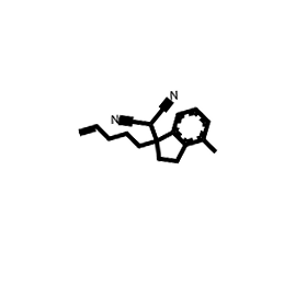 C=CCCCC1(C(C#N)C#N)CCc2c(C)cccc21